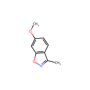 COc1ccc2c(C)noc2c1